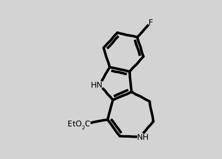 CCOC(=O)C1=CNCCc2c1[nH]c1ccc(F)cc21